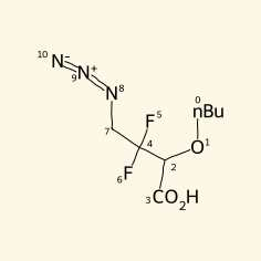 CCCCOC(C(=O)O)C(F)(F)CN=[N+]=[N-]